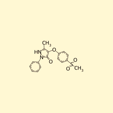 Cc1[nH]n(-c2ccccc2)c(=O)c1Oc1ccc(S(C)(=O)=O)cc1